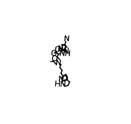 COC(C)CN(CCCCc1ccc2c(n1)NCCC2)CCC(Nc1ncc(C#N)cn1)C(=O)O